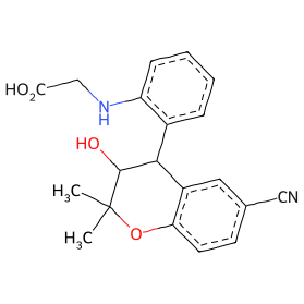 CC1(C)Oc2ccc(C#N)cc2C(c2ccccc2NCC(=O)O)C1O